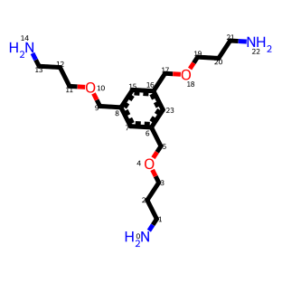 NCCCOCc1cc(COCCCN)cc(COCCCN)c1